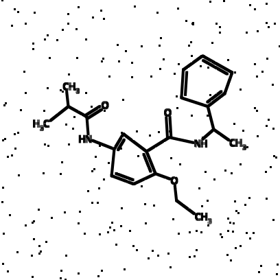 CCOc1ccc(NC(=O)C(C)C)cc1C(=O)NC(C)c1c[c]ccc1